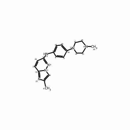 Cc1cn2nc(Nc3ccc(N4CCN(C)CC4)cc3)ccc2n1